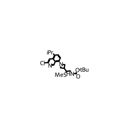 CSC(CNC(=O)OC(C)(C)C)C1CN(c2ccc(C(C)C)c3cc(Cl)ncc23)C1